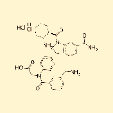 Cl.Cl.NC(=O)c1ccc2c(c1)N(C(=O)[C@@H]1CCCC[C@@H]1N)CC2.NCc1cccc(C(=O)N(CC(=O)O)c2ccccc2)c1